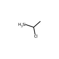 CC([SiH3])Cl